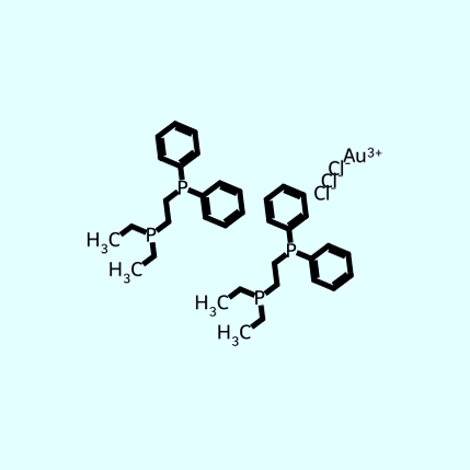 CCP(CC)CCP(c1ccccc1)c1ccccc1.CCP(CC)CCP(c1ccccc1)c1ccccc1.[Au+3].[Cl-].[Cl-].[Cl-]